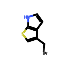 CC(C)Cc1csc2[nH]ccc12